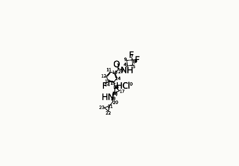 Cl.O=C(NC1CC(F)(F)C1)c1ccc(F)c([C@@H]2C[C@H]2NCC2CC2)c1